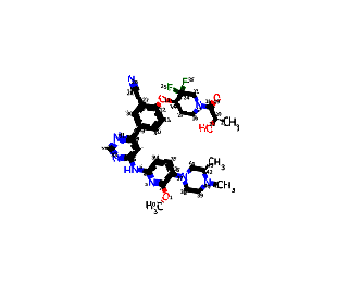 COc1nc(Nc2cc(-c3ccc(OC4CCN(C(=O)[C@H](C)O)CC4(F)F)c(C#N)c3)ncn2)ccc1N1CCN(C)[C@H](C)C1